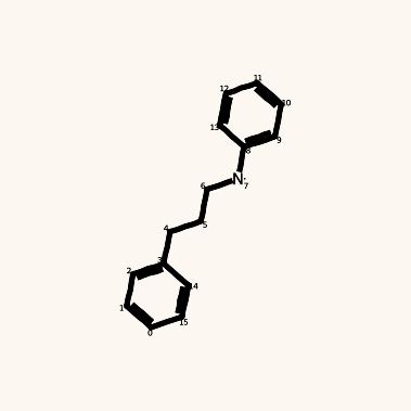 c1ccc(CCC[N]c2ccccc2)cc1